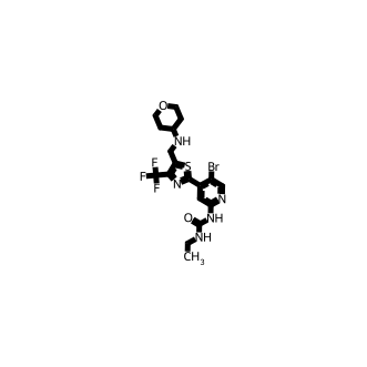 CCNC(=O)Nc1cc(-c2nc(C(F)(F)F)c(CNC3CCOCC3)s2)c(Br)cn1